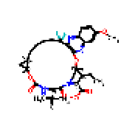 CC[C@@H]1[C@@H]2CN(C(=O)[C@H](C(C)(C)C)NC(=O)O[C@@H]3C[C@H]3CCCCC(F)(F)c3nc4ccc(OC)cc4nc3O2)[C@@H]1C(=O)O